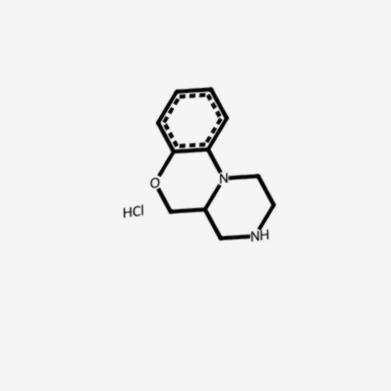 Cl.c1ccc2c(c1)OCC1CNCCN21